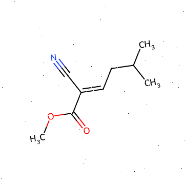 COC(=O)C(C#N)=CCC(C)C